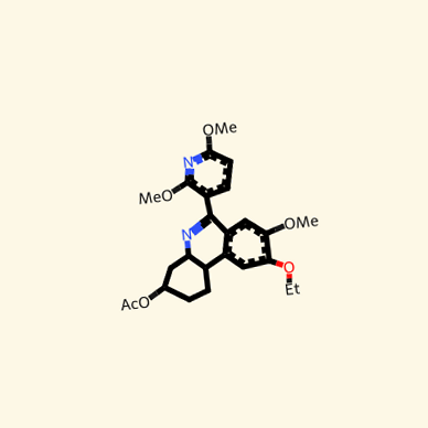 CCOc1cc2c(cc1OC)C(c1ccc(OC)nc1OC)=NC1CC(OC(C)=O)CCC21